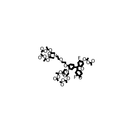 CC(=O)OC(C)OC(=O)CN(CCOCCOc1ccc(-c2c3cc(F)c(=O)cc-3oc3cc(OC(C)OC(C)=O)c(F)cc23)cc1N(CC(=O)OC(C)OC(C)=O)CC(=O)OC(C)OC(C)=O)CC(=O)OC(C)OC(C)=O